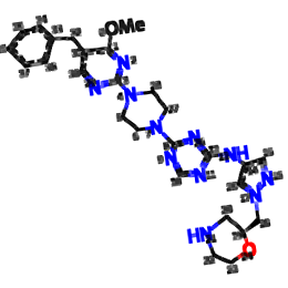 COc1nc(N2CCN(c3ncnc(Nc4cnn(C[C@@H]5CNCCO5)c4)n3)CC2)ncc1Cc1ccccc1